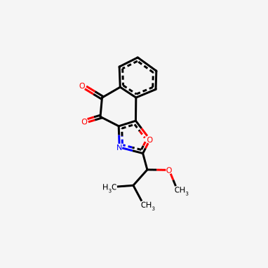 COC(c1nc2c(o1)-c1ccccc1C(=O)C2=O)C(C)C